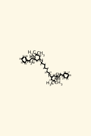 CC1(C)CC(N=CCCCCC=NC2CC(C)(C)NC(C)(CCc3ccccc3)C2)CC(C)(CCc2ccccc2)N1